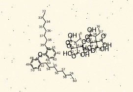 CCC(C(=O)O)C(C(=O)O)(C(=O)O)C(=O)O.CCC(C(=O)O)C(C(=O)O)(C(=O)O)C(=O)O.CCCCCCCCc1ccccc1Oc1ccccc1CCCCCCCC